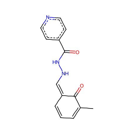 CC1=CC=CC(=CNNC(=O)c2ccncc2)C1=O